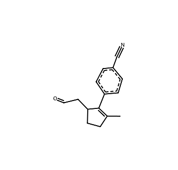 CC1=C(c2ccc(C#N)cc2)C(CC=O)CC1